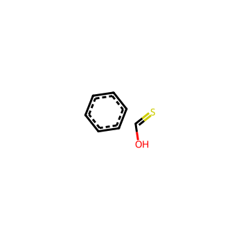 OC=S.c1ccccc1